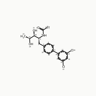 CCC(=O)N[C@@H](Cc1ccc(-c2cc(Cl)cc(Cl)c2)cc1)[C@H](O)[C@H](C)O